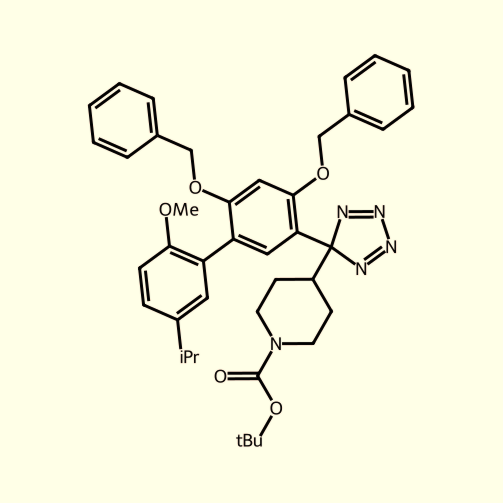 COc1ccc(C(C)C)cc1-c1cc(C2(C3CCN(C(=O)OC(C)(C)C)CC3)N=NN=N2)c(OCc2ccccc2)cc1OCc1ccccc1